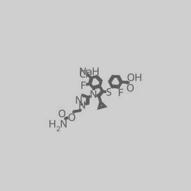 NC(=O)OCCn1cc(-n2c(C3CC3)c(Sc3cccc(C(=O)O)c3F)c3ccc(Cl)c(F)c32)cn1.[NaH]